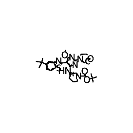 COc1nc(N2CCOCC2)nc(N[C@@H]2CCCN(C(=O)OC(C)(C)C)C2)c1-c1nc2cc(C(C)(C)C)ccc2s1